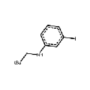 CC(C)(C)CNc1cccc(I)c1